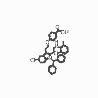 Cc1cccc(Cl)c1NCCc1c(CCOc2ccc(C(=O)O)cc2)c2cc(Cl)ccc2n1C(c1ccccc1)c1ccccc1